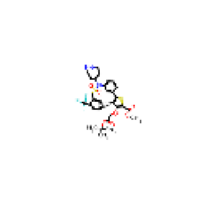 COC(=O)c1sc(-c2cccc(N(C3CCNCC3)S(=O)(=O)Cc3ccccc3C(F)(F)F)c2)c(C)c1OCC(=O)OC(C)(C)C